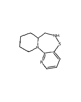 c1cnc2c(c1)SNCC1CCCCN21